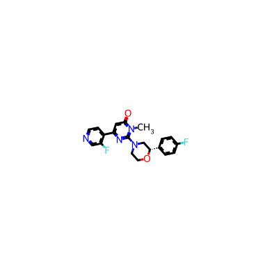 Cn1c(N2CCO[C@@H](c3ccc(F)cc3)C2)nc(-c2ccncc2F)cc1=O